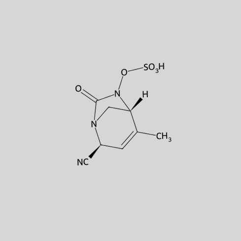 CC1=C[C@@H](C#N)N2C[C@@H]1N(OS(=O)(=O)O)C2=O